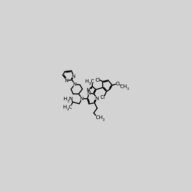 CCCc1cc(N(CC(C)N)C2CCN(c3ncccn3)CC2)n2nc(C)c(-c3c(Cl)cc(OC)cc3Cl)c2n1